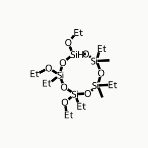 CCO[SiH]1O[Si](C)(CC)O[Si](C)(CC)O[Si](CC)(OCC)O[Si](CC)(OCC)O1